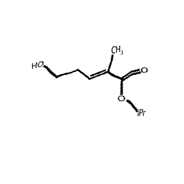 CC(=CCCO)C(=O)OC(C)C